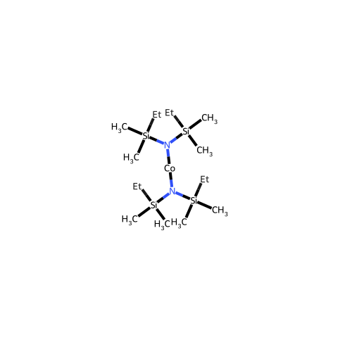 CC[Si](C)(C)[N]([Co][N]([Si](C)(C)CC)[Si](C)(C)CC)[Si](C)(C)CC